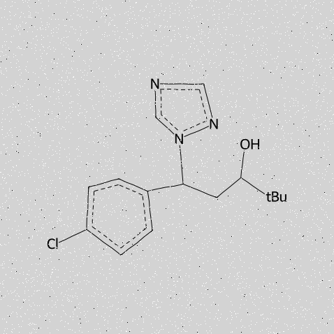 CC(C)(C)C(O)CC(c1ccc(Cl)cc1)n1cncn1